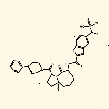 O=C(N[C@H]1CCCC[C@H]2CC[C@@H](C(=O)N3CCC(c4cccnc4)CC3)N2C1=O)c1cc2cc(C(F)P(=O)(O)O)ccc2s1